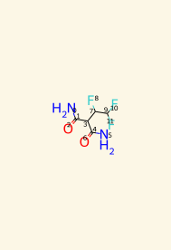 NC(=O)C(C(N)=O)C(F)C(F)F